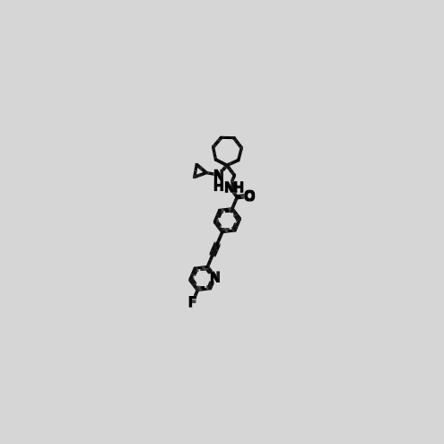 O=C(NCC1(NC2CC2)CCCCCC1)c1ccc(C#Cc2ccc(F)cn2)cc1